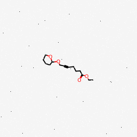 CCOC(=O)CCCC#CCOC1CCCCO1